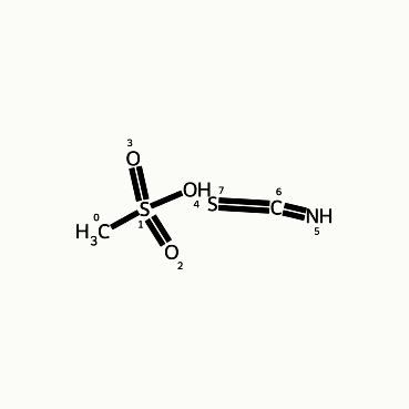 CS(=O)(=O)O.N=C=S